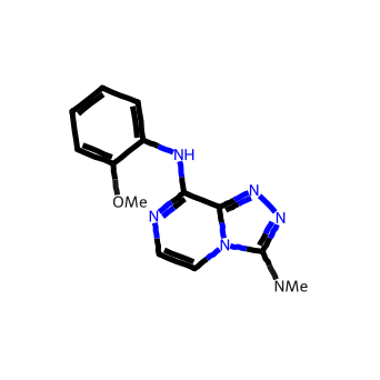 CNc1nnc2c(Nc3ccccc3OC)nccn12